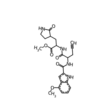 C#CCC(NC(=O)c1cc2c(OC)cccc2[nH]1)C(=O)NC(CC1CCNC1=O)C(=O)OC